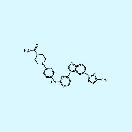 CC(=O)N1CCN(c2ccc(Nc3nccc(-c4cnc5ccc(-c6ccc(C)o6)cn45)n3)nc2)CC1